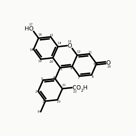 CC1=CC=C(c2c3ccc(=O)cc-3oc3cc(O)ccc23)C(C(=O)O)C1